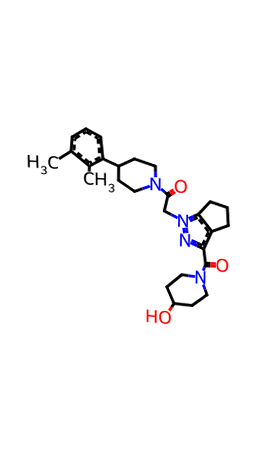 Cc1cccc(C2CCN(C(=O)Cn3nc(C(=O)N4CCC(O)CC4)c4c3CCC4)CC2)c1C